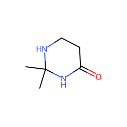 CC1(C)NCCC(=O)N1